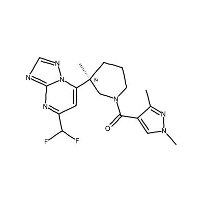 Cc1nn(C)cc1C(=O)N1CCC[C@](C)(c2cc(C(F)F)nc3ncnn23)C1